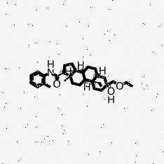 CCOC[C@@]1(O)CC[C@@]2(CC)[C@H](CC[C@H]3[C@@H]4CC[C@H](C(=O)Nc5ccccc5C)[C@@]4(C)CC[C@@H]32)C1